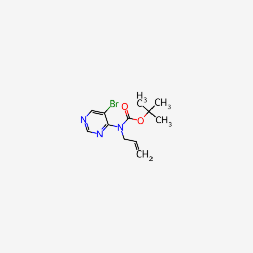 C=CCN(C(=O)OC(C)(C)C)c1ncncc1Br